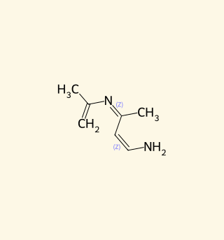 C=C(C)/N=C(C)\C=C/N